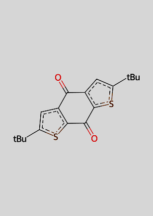 CC(C)(C)c1cc2c(s1)C(=O)c1sc(C(C)(C)C)cc1C2=O